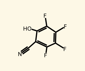 N#Cc1c(O)c(F)c(F)c(F)c1F